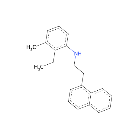 CCc1c(C)cccc1NCCc1cccc2ccccc12